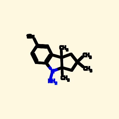 CC1(C)CC2(C)c3cc(C(C)(C)C)ccc3N(N)C2(C)C1